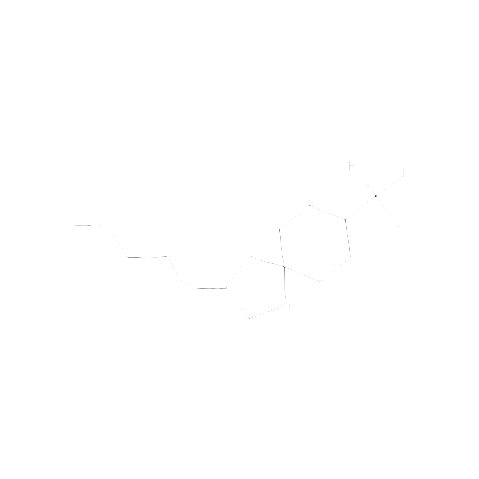 COCCOC1COC2(CCC(C(F)(F)F)CC2)O1